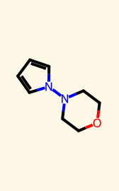 c1ccn(N2CCOCC2)c1